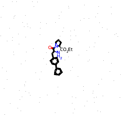 CCOC(=O)[C@@H]1CCCN1C(=O)[C@@H](N)Cc1ccc(-c2ccccc2)cc1